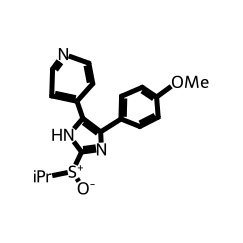 COc1ccc(-c2nc([S+]([O-])C(C)C)[nH]c2-c2ccncc2)cc1